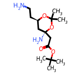 CC(C)(C)OC(=O)C[C@@]1(N)C[C@@H](CCN)OC(C)(C)O1